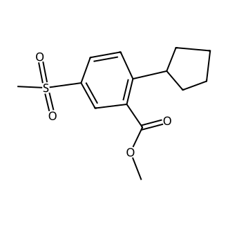 COC(=O)c1cc(S(C)(=O)=O)ccc1C1CCCC1